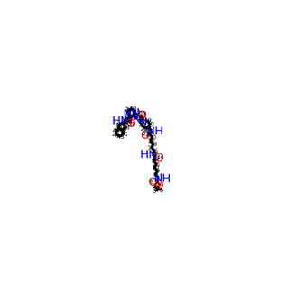 CC(C)(C)OC(=O)NCCCCCC(=O)NCCCCCC(=O)NC1CCN(C(=O)Nc2nccnc2C(=O)NC2Cc3ccccc3C2)CC1